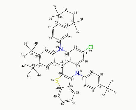 CC(C)(C)c1ccc(N2c3cc(Cl)cc4c3B(c3cc5c(cc3N4c3ccc4c(c3)C(C)(C)CCC4(C)C)C(C)(C)CCC5(C)C)c3sc4ccccc4c32)cc1